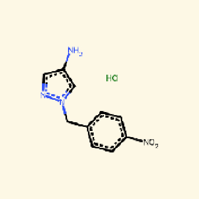 Cl.Nc1cnn(Cc2ccc([N+](=O)[O-])cc2)c1